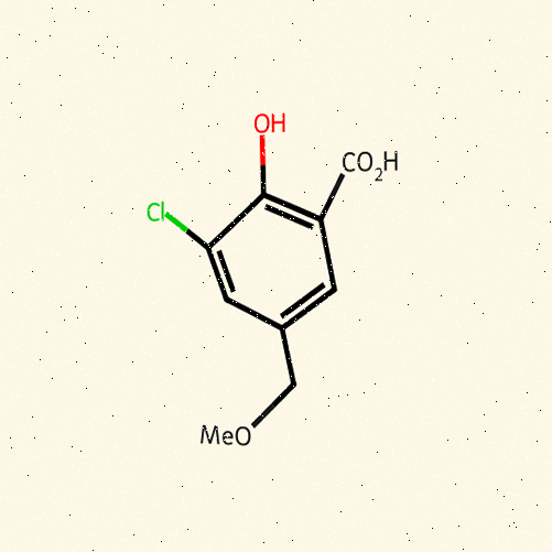 COCc1cc(Cl)c(O)c(C(=O)O)c1